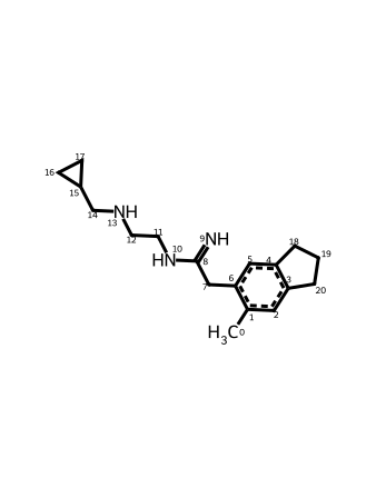 Cc1cc2c(cc1CC(=N)NCCNCC1CC1)CCC2